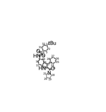 CC(C)(C)c1ccc(S(=O)(=O)Nc2ccc3[nH]c(C(=O)N4CCCC4)c(-c4ccccc4)c3c2)cc1